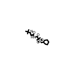 CC(C)(C)c1cc(NC(=O)C(C)(C)S(=O)(=O)CC2CCCCC2)on1